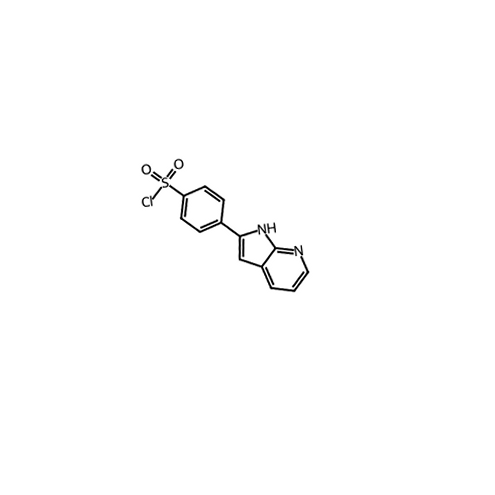 O=S(=O)(Cl)c1ccc(-c2cc3cccnc3[nH]2)cc1